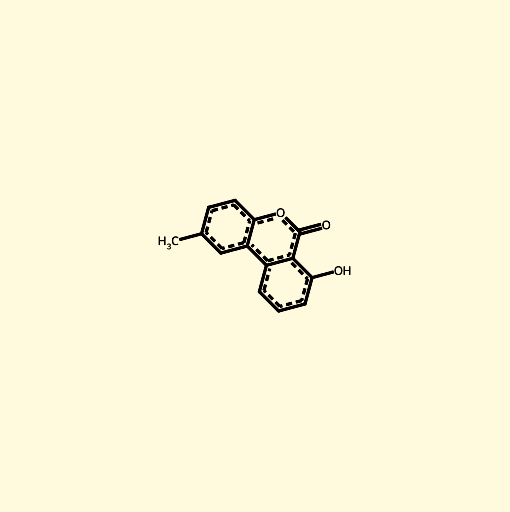 Cc1ccc2oc(=O)c3c(O)cccc3c2c1